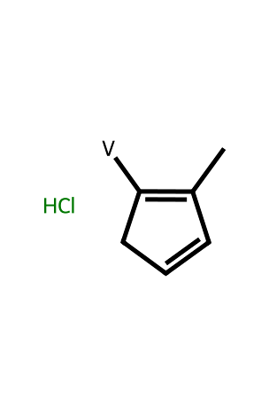 CC1=[C]([V])CC=C1.Cl